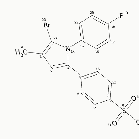 Cc1cc(-c2ccc(S(C)(=O)=O)cc2)n(-c2ccc(F)cc2)c1Br